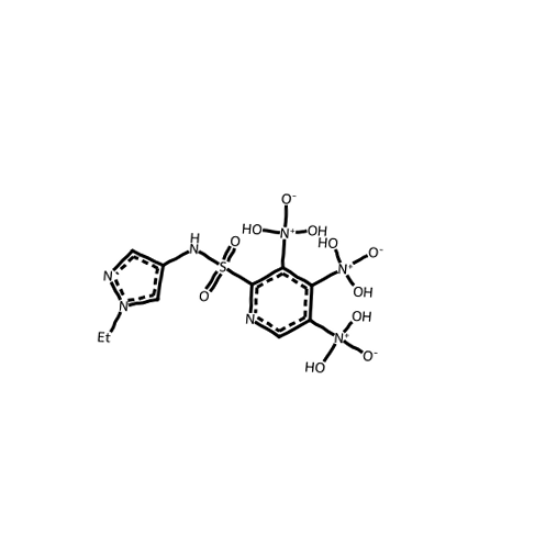 CCn1cc(NS(=O)(=O)c2ncc([N+]([O-])(O)O)c([N+]([O-])(O)O)c2[N+]([O-])(O)O)cn1